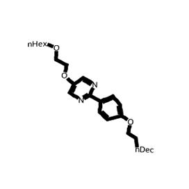 CCCCCCCCCCCCOc1ccc(-c2ncc(OCCOCCCCCC)cn2)cc1